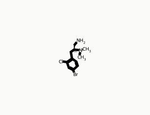 CN(C)[C@H](CN)Cc1ccc(Br)cc1Cl